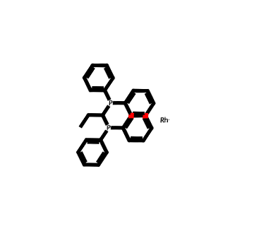 CCC(P(c1ccccc1)c1ccccc1)P(c1ccccc1)c1ccccc1.[Rh]